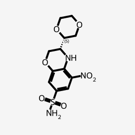 NS(=O)(=O)c1cc2c(c([N+](=O)[O-])c1)NC([C@H]1COCCO1)CO2